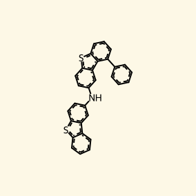 c1ccc(-c2cccc3sc4ccc(Nc5ccc6sc7ccccc7c6c5)cc4c23)cc1